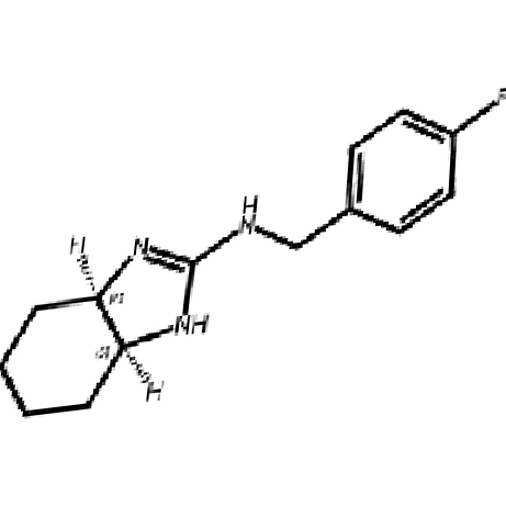 Fc1ccc(CNC2=N[C@@H]3CCCC[C@@H]3N2)cc1